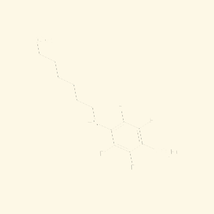 CCCCCCCCCCCCCCCCNc1c(F)c(F)c(C(=O)OCC)c(F)c1F